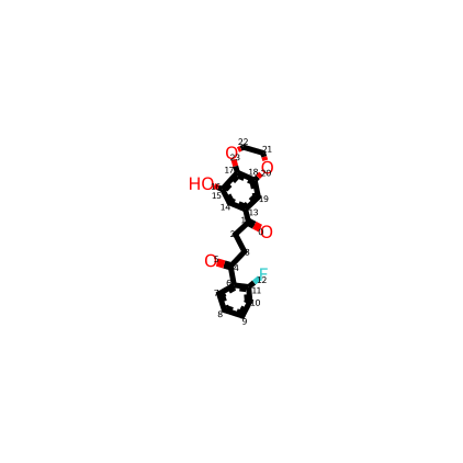 O=C(CCC(=O)c1ccccc1F)c1cc(O)c2c(c1)OCCO2